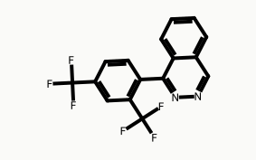 FC(F)(F)c1ccc(-c2nncc3ccccc23)c(C(F)(F)F)c1